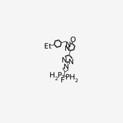 CCc1ccc(Cn2nc(-c3cnc(N4CC(C(F)(P)P)C4)nc3)ccc2=O)cc1